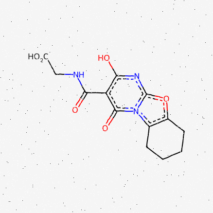 O=C(O)CNC(=O)c1c(O)nc2oc3c(n2c1=O)CCCC3